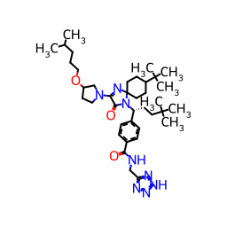 CC(C)CCCOC1CCN(C2=NC3(CCC(C(C)(C)C)CC3)N([C@H](CCC(C)(C)C)c3ccc(C(=O)NCc4nn[nH]n4)cc3)C2=O)C1